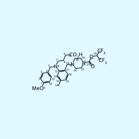 COc1ccc(CN(CCCC(=O)O)c2cc(C)ccc2CN2CCN(C(=O)OC(C(F)(F)F)C(F)(F)F)CC2)cc1